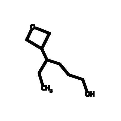 CCC(CCCO)C1COC1